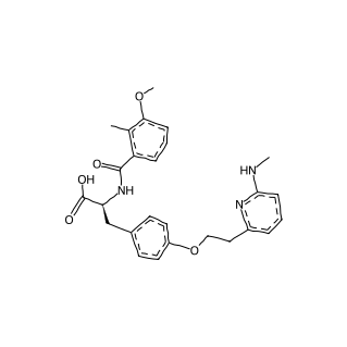 CNc1cccc(CCOc2ccc(C[C@H](NC(=O)c3cccc(OC)c3C)C(=O)O)cc2)n1